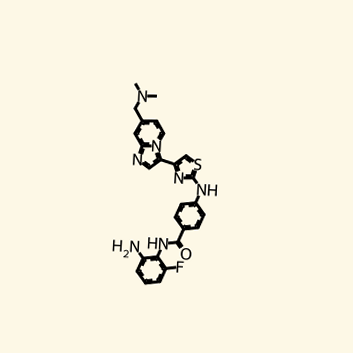 CN(C)Cc1ccn2c(-c3csc(Nc4ccc(C(=O)Nc5c(N)cccc5F)cc4)n3)cnc2c1